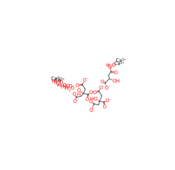 O.O.O.O.O.O.O.O=C([O-])CC(O)(CC(=O)[O-])C(=O)[O-].O=C([O-])CC(O)(CC(=O)[O-])C(=O)[O-].O=C([O-])CC(O)C(=O)[O-].[Ca+2].[Ca+2].[Ca+2].[Ca+2]